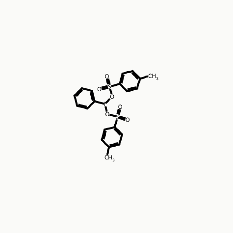 Cc1ccc(S(=O)(=O)OI(OS(=O)(=O)c2ccc(C)cc2)c2ccccc2)cc1